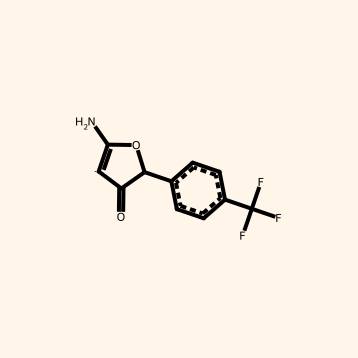 NC1=[C]C(=O)C(c2ccc(C(F)(F)F)cc2)O1